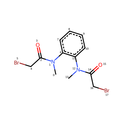 CN(C(=O)CBr)c1ccccc1N(C)C(=O)CBr